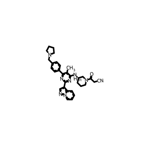 Cc1c(N[C@@H]2CCCN(C(=O)CC#N)C2)nc(-c2cnn3ccccc23)nc1-c1ccc(CN2CCCC2)cc1